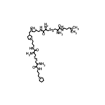 CN(C)CCCNC(=O)[C@@H](N)CSSC[C@H](N)C(=O)NCCCN(C)CC1CCN(CCCNC(=O)[C@@H](N)CSSC[C@H](N)C(=O)NCCCN2CCCC2)C1